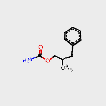 CC(COC(N)=O)Cc1ccccc1